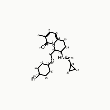 Cc1ccc2n(c1=O)C(COC1CCC(C(C)C)CC1)C(NSC1CC1)CC2